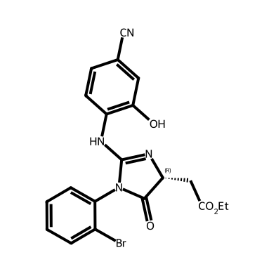 CCOC(=O)C[C@H]1N=C(Nc2ccc(C#N)cc2O)N(c2ccccc2Br)C1=O